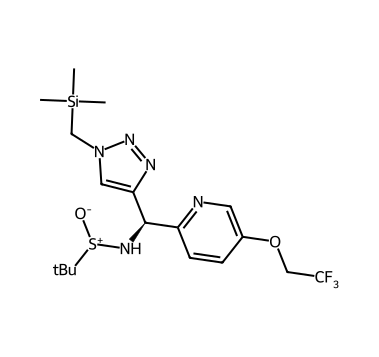 CC(C)(C)[S+]([O-])N[C@H](c1ccc(OCC(F)(F)F)cn1)c1cn(C[Si](C)(C)C)nn1